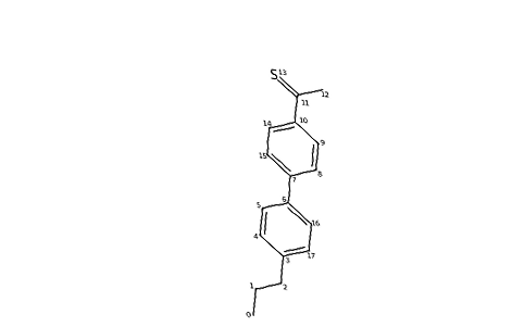 CCCc1ccc(-c2ccc(C(C)=S)cc2)cc1